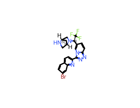 FC(F)(F)[C@@H](c1ccc2nnc(-c3ccc4ccc(Br)cc4n3)n2c1)N1C[C@@H]2C[C@H]1CN2